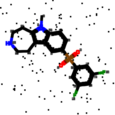 Cn1c2c(c3cc(S(=O)(=O)c4cc(F)cc(F)c4)ccc31)CCNCC2